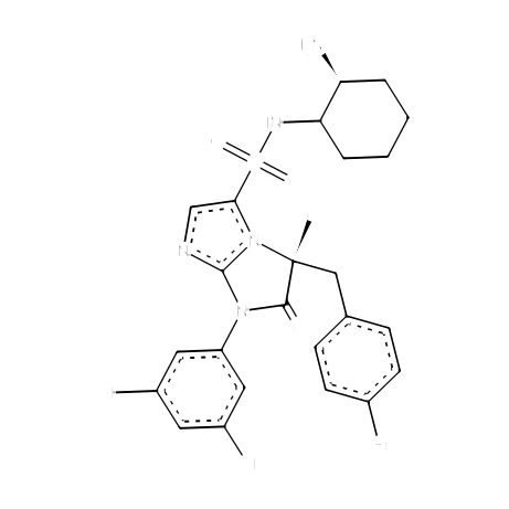 C[C@@]1(Cc2ccc(Br)cc2)C(=O)N(c2cc(Cl)cc(Cl)c2)c2ncc(S(=O)(=O)NC3CCCC[C@@H]3N)n21